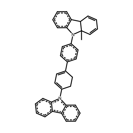 CC12C=CC=CC1c1ccccc1N2c1ccc(C2=CC=C(n3c4ccccc4c4ccccc43)CC2)cc1